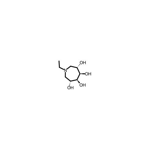 CCN1C[C@@H](O)[C@H](O)[C@H](O)[C@@H](O)C1